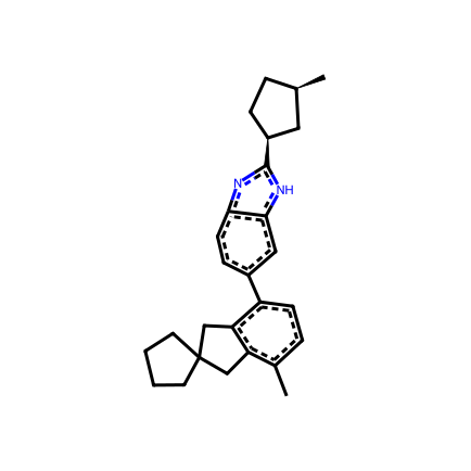 Cc1ccc(-c2ccc3nc([C@H]4CC[C@@H](C)C4)[nH]c3c2)c2c1CC1(CCCC1)C2